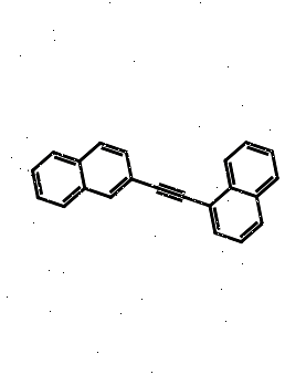 C(#Cc1cccc2ccccc12)c1ccc2c[c]ccc2c1